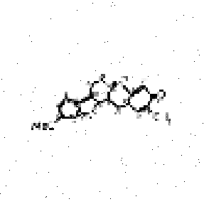 COc1ccc2c(c1)=NC1C(CC3C=C(C)C(=O)C=C3C(C)C)=NCCC=21